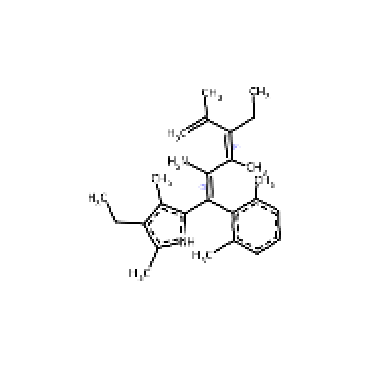 C=C(C)/C(CC)=C(C)\C(N)=C(\c1[nH]c(C)c(CC)c1C)c1c(C)cccc1C